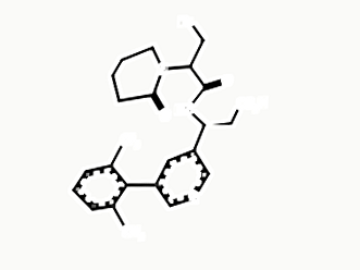 Cc1cccc(C(F)(F)F)c1-c1cncc([C@H](CC(=O)O)NC(=O)C(CC(C)C)N2CCCCC2=O)c1